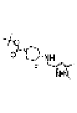 Cc1cc(CN[C@H]2CCN(C(=O)OC(C)(C)C)C[C@H]2F)nn1C